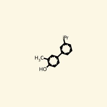 Cc1cc(-c2cccc(C(C)C)c2)ccc1O